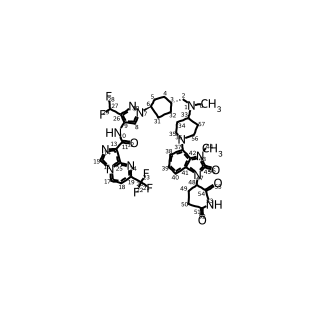 CN(C[C@H]1CC[C@H](n2cc(NC(=O)c3ncn4ccc(C(F)(F)F)nc34)c(C(F)F)n2)CC1)C1CCN(c2cccc3c2n(C)c(=O)n3C2CCC(=O)NC2=O)CC1